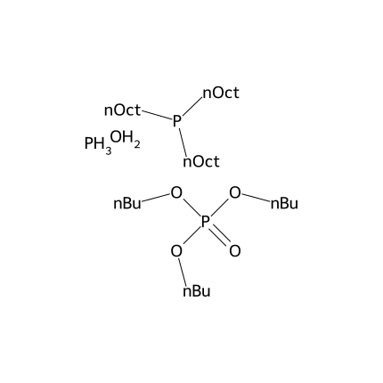 CCCCCCCCP(CCCCCCCC)CCCCCCCC.CCCCOP(=O)(OCCCC)OCCCC.O.P